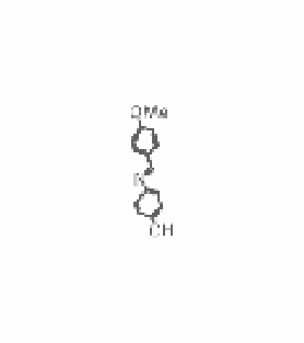 COc1ccc(/C=N/c2ccc(O)cc2)cc1